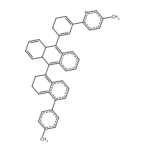 Cc1ccc(-c2cccc3c2=CCCC=3C2=c3ccccc3=C(C3=CC(c4ccc(C)cn4)=CCC3)C3C=CC=CC23)cc1